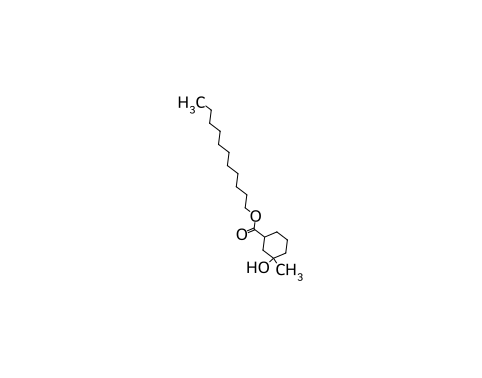 CCCCCCCCCCCOC(=O)C1CCCC(C)(O)C1